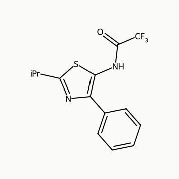 CC(C)c1nc(-c2ccccc2)c(NC(=O)C(F)(F)F)s1